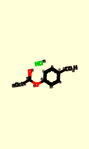 CCCCCCCCC(=O)Oc1ccc(C(=O)O)cc1.Cl